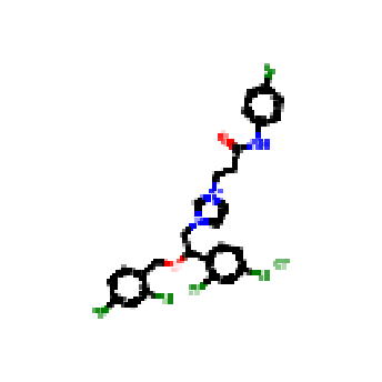 O=C(CC[n+]1ccn(CC(OCc2ccc(Cl)cc2Cl)c2ccc(Cl)cc2Cl)c1)Nc1ccc(Cl)cc1.[Cl-]